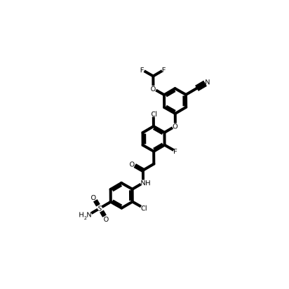 N#Cc1cc(Oc2c(Cl)ccc(CC(=O)Nc3ccc(S(N)(=O)=O)cc3Cl)c2F)cc(OC(F)F)c1